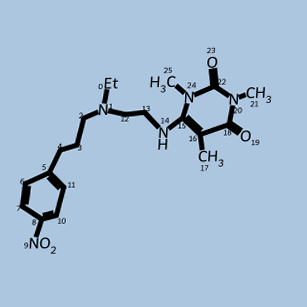 CCN(CCCc1ccc([N+](=O)[O-])cc1)CCNc1c(C)c(=O)n(C)c(=O)n1C